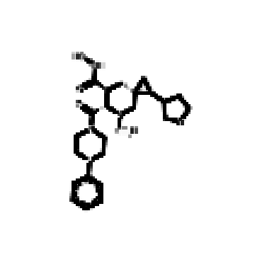 O=C(NO)[C@H]1C[C@@]2(CC2C2CCOC2)CN(C(=O)O)[C@@H]1C(=O)N1CCN(c2ccccc2)CC1